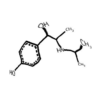 CC(C)NC(C)C(O)c1ccc(O)cc1